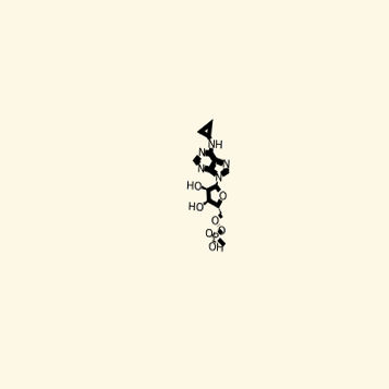 CP(=O)(O)OOC[C@H]1O[C@@H](n2cnc3c(NC4CC4)ncnc32)[C@H](O)[C@@H]1O